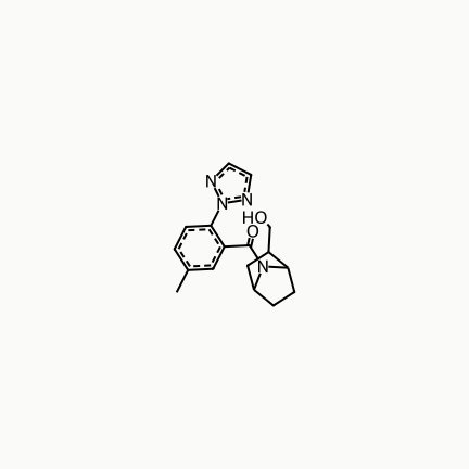 Cc1ccc(-n2nccn2)c(C(=O)N2C3CCC2C(CO)C3)c1